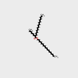 CCCCCCCCCCCCCCCCCCOC(=O)C(CCCCCC)CCCCCCCCCCCCCCCC